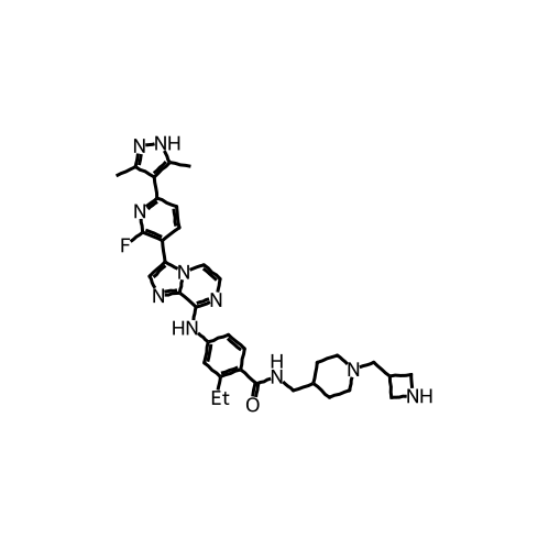 CCc1cc(Nc2nccn3c(-c4ccc(-c5c(C)n[nH]c5C)nc4F)cnc23)ccc1C(=O)NCC1CCN(CC2CNC2)CC1